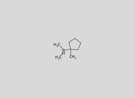 C[SiH](C)C1(C)CCCC1